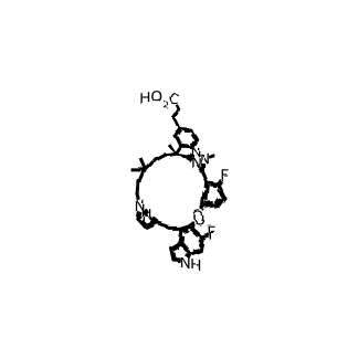 Cn1nc2nc1-c1cc(ccc1F)Oc1c(F)cc3[nH]ccc3c1Cc1ccn(n1)CCC(C)(C)CCC2(C)c1cccc(CCC(=O)O)c1